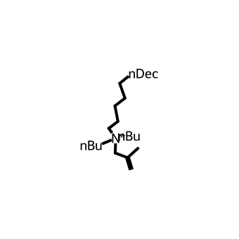 C=C(C)C[N+](CCCC)(CCCC)CCCCCCCCCCCCCCC